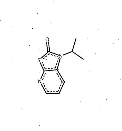 CC(C)n1c(=O)sc2ncccc21